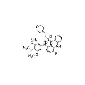 COc1cc(Nc2ncc(F)c(Nc3ccccc3NS(=O)(=O)CCN3CCOCC3)n2)cc(OC)c1OC